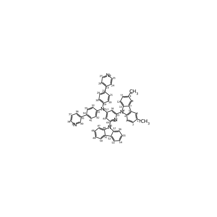 Cc1ccc2c(c1)c1cc(C)ccc1n2-c1cc(N(c2ccc(-c3ccncc3)cc2)c2ccc(-c3cccnc3)cc2)cc(-n2c3ccccc3c3ccccc32)n1